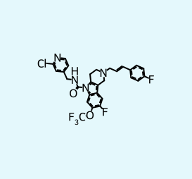 O=C(NCc1ccnc(Cl)c1)n1c2c(c3cc(F)c(OC(F)(F)F)cc31)CN(CC=Cc1ccc(F)cc1)CC2